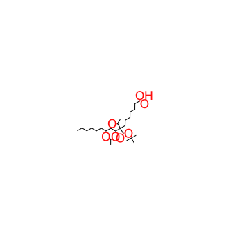 CCCCCCC(CCC(CCCCCCC(=O)O)(C(C)=O)C(=O)OC(C)(C)C)OC(C)=O